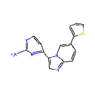 Nc1nccc(-c2cnc3ccc(-c4cccs4)cn23)n1